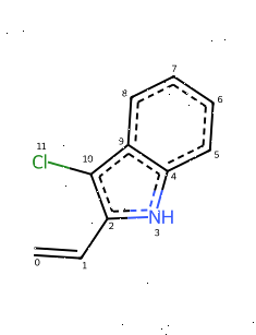 C=Cc1[nH]c2ccccc2c1Cl